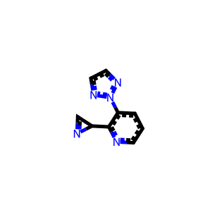 C1=NC1c1ncccc1-n1nccn1